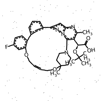 Cc1nc2cc3nn2c(c1[C@H](OC(C)(C)C)C(=O)O)N1CCC(C)(CC1)OC/C=C\COc1cc(F)ccc1-c1cccc-3c1